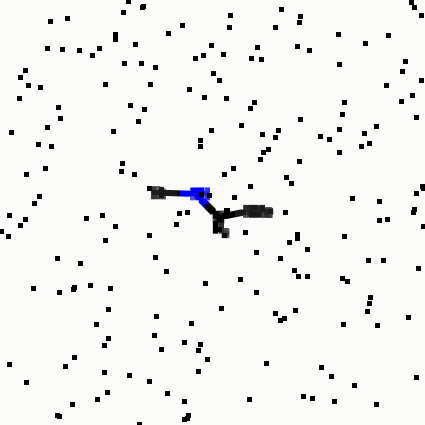 CCN[SiH2]NC